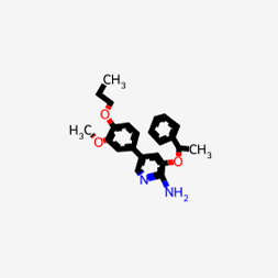 CCCOc1ccc(-c2cnc(N)c(OC(C)c3ccccc3)c2)cc1OC